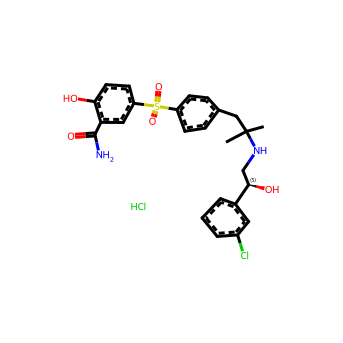 CC(C)(Cc1ccc(S(=O)(=O)c2ccc(O)c(C(N)=O)c2)cc1)NC[C@@H](O)c1cccc(Cl)c1.Cl